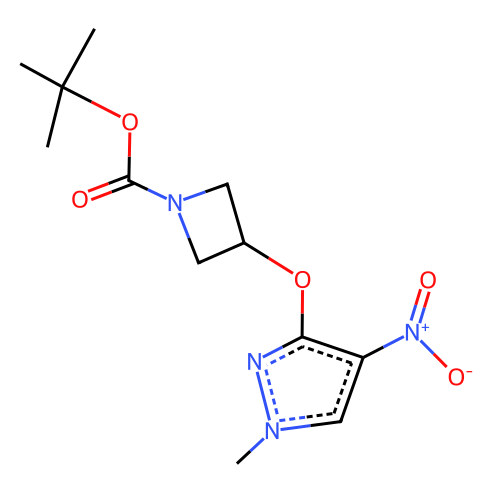 Cn1cc([N+](=O)[O-])c(OC2CN(C(=O)OC(C)(C)C)C2)n1